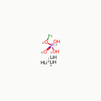 O=P(O)(O)OF.[LiH].[LiH].[LiH]